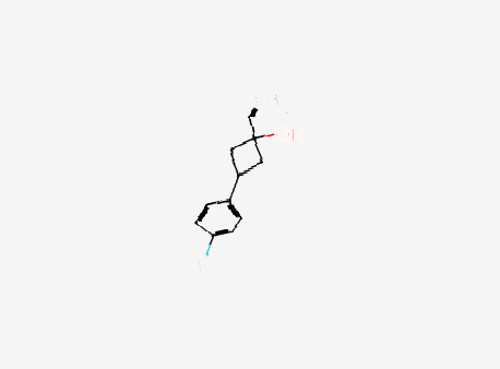 C=CC1(O)CC(c2ccc(F)cc2)C1